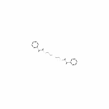 O=C(NCCOCCNC(=O)C(=O)c1ccccc1)C(=O)c1ccccc1